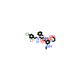 CCNc1cc(C(=O)N[C@@H](Cc2ccccc2)[C@@H](O)CNCCc2ccc(Cl)cc2Cl)cc(N2CCCCS2(O)O)c1